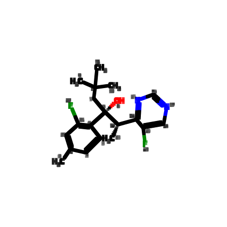 Cc1ccc([C@@](O)(CC(C)(C)C)[C@@H](C)c2ncncc2F)c(F)c1